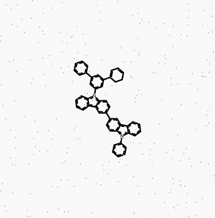 C1=CCCC(c2cc(-c3ccccc3)cc(-n3c4ccccc4c4cc(-c5ccc6c(c5)c5ccccc5n6-c5ccccc5)ccc43)c2)=C1